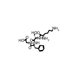 NCCCC[C@H](N)C(=O)N[C@@H](CO)C(=O)N[C@@H](Cc1ccccc1)C(=O)NCC(=O)O